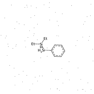 CC[SiH](CC)[SiH2]c1ccccc1